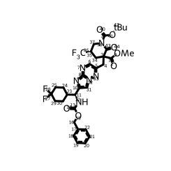 COC(=O)C1(Cc2cnc3nc([C@@H](NC(=O)OCc4ccccc4)C4CCC(F)(F)CC4)cn3n2)C[C@@H](C(F)(F)F)CN(C(=O)OC(C)(C)C)C1=O